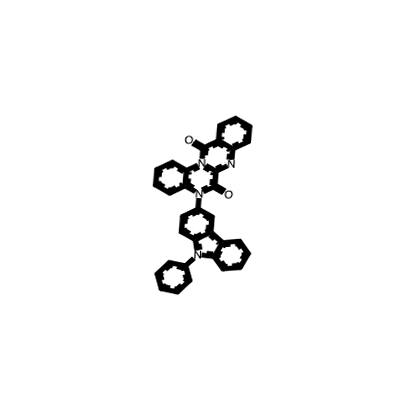 O=c1c2nc3ccccc3c(=O)n2c2ccccc2n1-c1ccc2c(c1)c1ccccc1n2-c1ccccc1